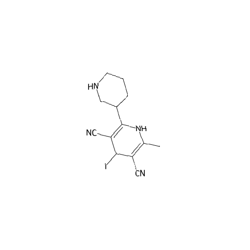 CC1=C(C#N)C(I)C(C#N)=C(C2CCCNC2)N1